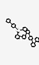 c1ccc(-c2ccc(-c3nc(-c4ccccc4)nc(-c4cccc5oc6ccc(-c7ccccc7-c7ccc(-c8ccccc8-c8ccccc8)cc7)cc6c45)n3)cc2)cc1